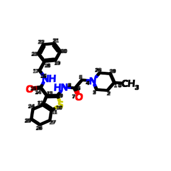 CC1CCN(CC(=O)Nc2sc3c(c2C(=O)NCc2ccccc2)CCCC3)CC1